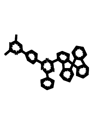 Cc1cc(-c2ccc(-c3nc(-c4ccccc4)nc(-c4cccc5c4-c4ccccc4C54c5ccccc5-c5ccccc54)n3)cc2)nc(C)n1